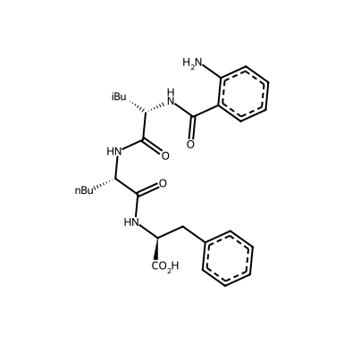 CCCC[C@H](NC(=O)[C@@H](NC(=O)c1ccccc1N)[C@@H](C)CC)C(=O)N[C@@H](Cc1ccccc1)C(=O)O